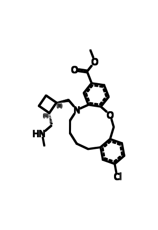 CNC[C@@H]1CC[C@H]1CN1CCCCc2cc(Cl)ccc2COc2ccc(C(=O)OC)cc21